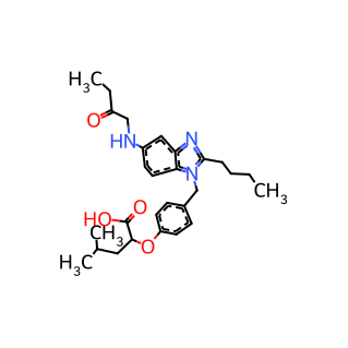 CCCCc1nc2cc(NCC(=O)CC)ccc2n1Cc1ccc(OC(CC(C)C)C(=O)O)cc1